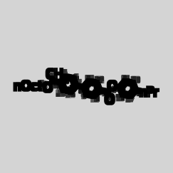 CCCCCCCCOC(C)c1ccc(-c2ccc(C(=O)Oc3ccc(CCC)cc3)cc2)cc1